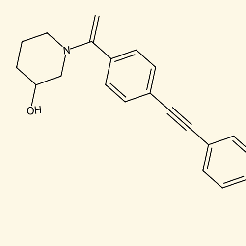 C=C(c1ccc(C#Cc2ccccc2)cc1)N1CCCC(O)C1